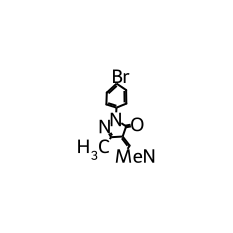 CNC=C1C(=O)N(c2ccc(Br)cc2)N=C1C